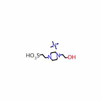 C[N+](C)(C)C.O=S(=O)(O)CCN1CCN(CCO)CC1